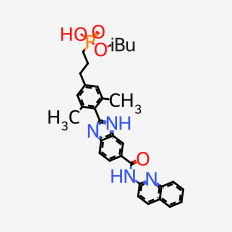 CCC(C)OP(=O)(O)CCCc1cc(C)c(-c2nc3ccc(C(=O)Nc4ccc5ccccc5n4)cc3[nH]2)c(C)c1